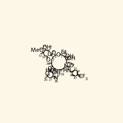 CC[C@H]1OC(=O)[C@H](C)[C@@H](O[C@H]2C[C@@](C)(OC)[C@@H](O)[C@H](C)O2)[C@H](C)[C@@H](O[C@@H]2O[C@H](C)C[C@H](N(C)C)[C@H]2O)[C@](C)(O)C[C@@H](C)CN(C(=O)Nc2ccc(C(F)(F)F)cc2)[C@H](C)[C@@H](O)[C@]1(C)O